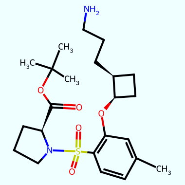 Cc1ccc(S(=O)(=O)N2CCC[C@H]2C(=O)OC(C)(C)C)c(O[C@@H]2CC[C@@H]2CCCN)c1